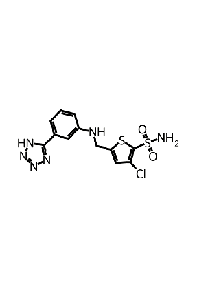 NS(=O)(=O)c1sc(CNc2cccc(-c3nnn[nH]3)c2)cc1Cl